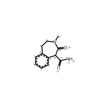 CN1CCc2ccccc2C(C(N)=O)C1=O